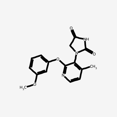 COc1cccc(Oc2nccc(C)c2N2CC(=O)NC2=O)c1